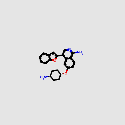 Nc1ncc(-c2cc3ccccc3o2)c2cc(O[C@H]3CC[C@H](N)CC3)ccc12